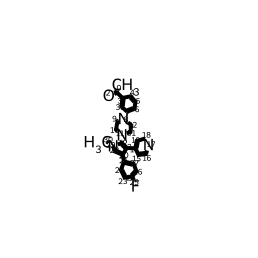 CC(=O)c1cccc(N2CCN(c3c(-c4ccncc4)c(-c4ccc(F)cc4)cn3C)CC2)c1